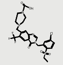 CCS(=O)(=O)c1ccc(Cl)cc1Cn1cnc2cc(CN3CCN(C(=O)O)CC3)c(C(F)(F)F)cc2c1=O